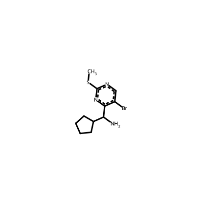 CSc1ncc(Br)c(C(N)C2CCCC2)n1